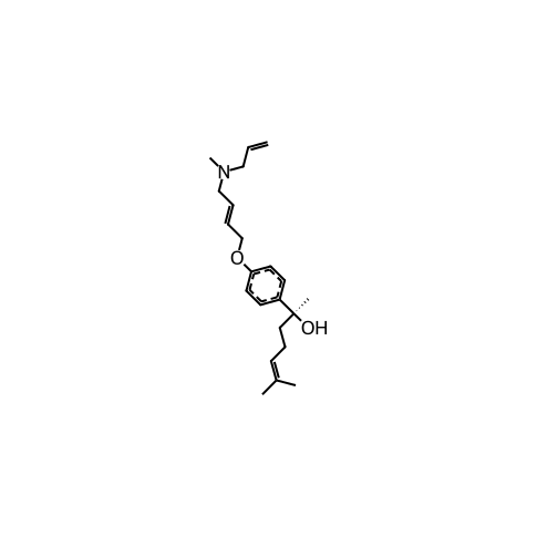 C=CCN(C)C/C=C/COc1ccc([C@@](C)(O)CCC=C(C)C)cc1